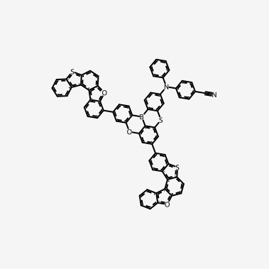 N#Cc1ccc(N(c2ccccc2)c2ccc3c(c2)Sc2cc(-c4ccc5c(c4)sc4ccc6oc7ccccc7c6c45)cc4c2B3c2ccc(-c3cccc5c3oc3ccc6sc7ccccc7c6c35)cc2O4)cc1